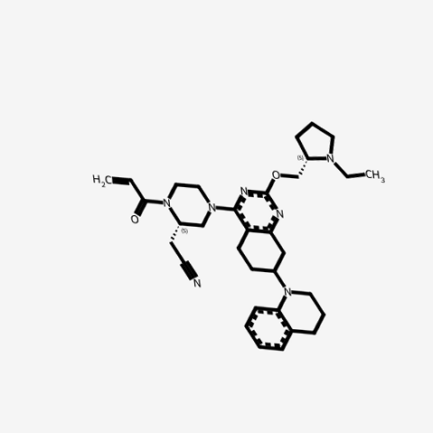 C=CC(=O)N1CCN(c2nc(OC[C@@H]3CCCN3CC)nc3c2CCC(N2CCCc4ccccc42)C3)C[C@@H]1CC#N